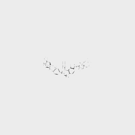 Cc1ccc(Oc2ccc(N3C=Nc4ccc(NC5=NC6(CCOCC6)CO5)cc4C3N)cc2C)cn1